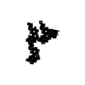 CCOc1cccc(-c2c[n+](C)ccc2F)c1.CCOc1cccc(-c2c[n+](C)ccc2F)c1.CCOc1cccc(-c2c[n+](C)ccc2F)c1.O=P([O-])([O-])[O-]